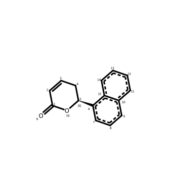 O=C1C=CC[C@@H](c2cccc3ccccc23)O1